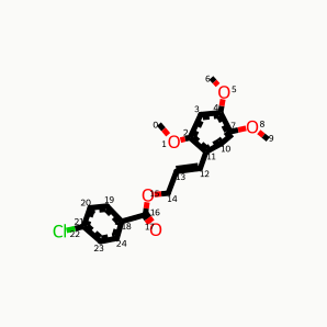 COc1cc(OC)c(OC)cc1/C=C/COC(=O)c1ccc(Cl)cc1